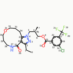 CCc1nn(C[C@@H](C)COC(=O)c2cc(Cl)cc(C(F)(F)F)c2)c2c1C(=O)NCCCOCCC2